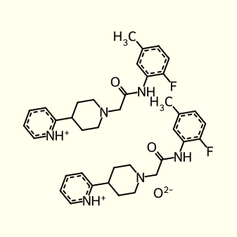 Cc1ccc(F)c(NC(=O)CN2CCC(c3cccc[nH+]3)CC2)c1.Cc1ccc(F)c(NC(=O)CN2CCC(c3cccc[nH+]3)CC2)c1.[O-2]